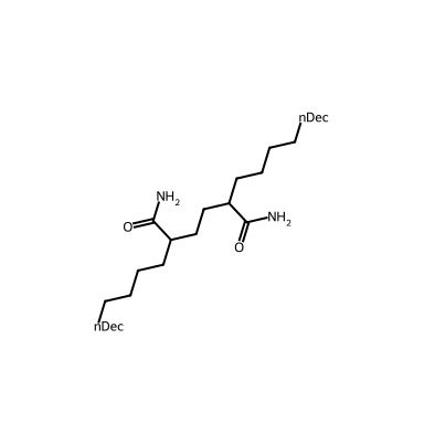 CCCCCCCCCCCCCCC(CCC(CCCCCCCCCCCCCC)C(N)=O)C(N)=O